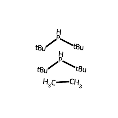 CC.CC(C)(C)PC(C)(C)C.CC(C)(C)PC(C)(C)C